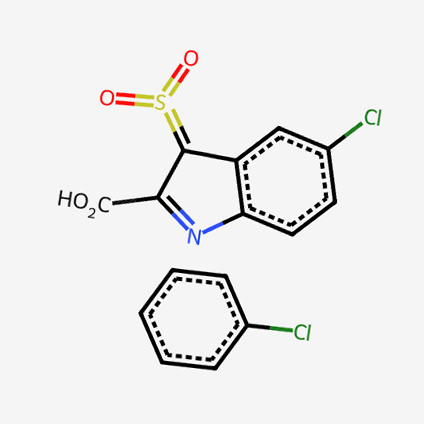 Clc1ccccc1.O=C(O)C1=Nc2ccc(Cl)cc2C1=S(=O)=O